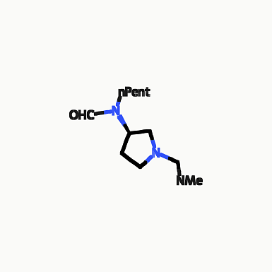 CCCCCN(C=O)[C@@H]1CCN(CNC)C1